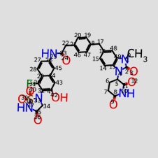 Cn1c(=O)n(C2CCC(=O)NC2=O)c2ccc(Cc3ccc(CC(=O)Nc4ccc5c(F)c(N6CC(=O)NS6(=O)=O)c(O)cc5c4)cc3)cc21